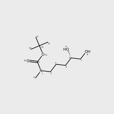 CN(CCC[C@H](O)CO)C(=O)OC(C)(C)C